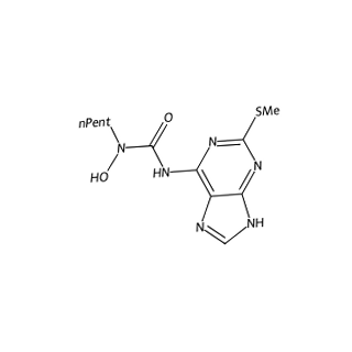 CCCCCN(O)C(=O)Nc1nc(SC)nc2[nH]cnc12